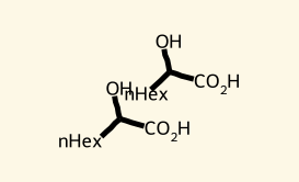 CCCCCCC(O)C(=O)O.CCCCCCC(O)C(=O)O